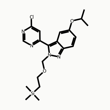 CC(C)Oc1ccc2nn(COCC[Si](C)(C)C)c(-c3cc(Cl)ncn3)c2c1